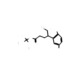 Cc1ccc(F)cc1C(CN)CCC(=O)OC(C)(C)C